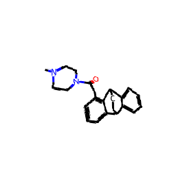 CN1CCN(C(=O)c2cccc3c2C2CCC3c3ccccc32)CC1